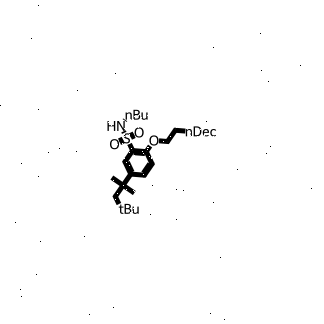 CCCCCCCCCCCCOc1ccc(C(C)(C)CC(C)(C)C)cc1S(=O)(=O)NCCCC